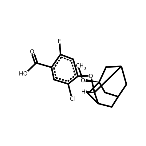 CO[C@]12CC3CC(C1)[C@@H](Oc1cc(F)c(C(=O)O)cc1Cl)C(C3)C2